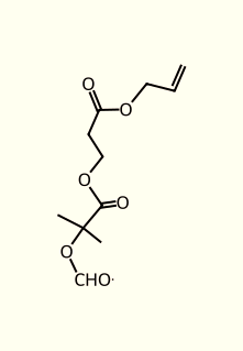 C=CCOC(=O)CCOC(=O)C(C)(C)O[C]=O